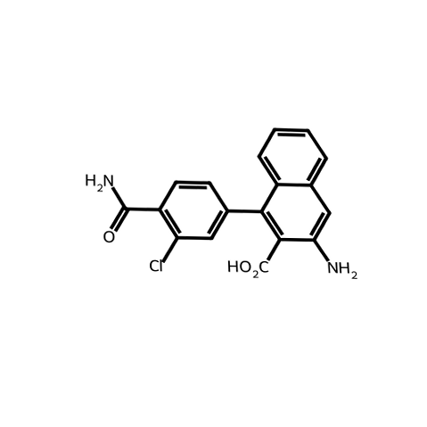 NC(=O)c1ccc(-c2c(C(=O)O)c(N)cc3ccccc23)cc1Cl